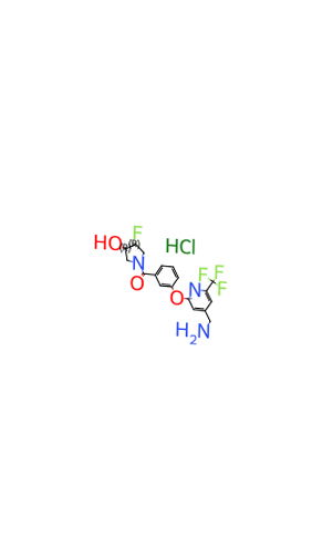 Cl.NCc1cc(Oc2cccc(C(=O)N3C[C@@H](O)[C@H](F)C3)c2)nc(C(F)(F)F)c1